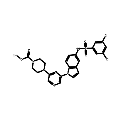 CC(C)(C)OC(=O)N1CCN(c2cncc(-n3ccc4cc(NS(=O)(=O)c5cc(Cl)cc(Cl)c5)ccc43)n2)CC1